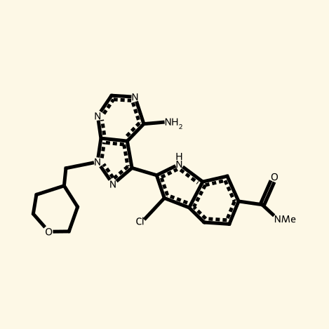 CNC(=O)c1ccc2c(Cl)c(-c3nn(CC4CCOCC4)c4ncnc(N)c34)[nH]c2c1